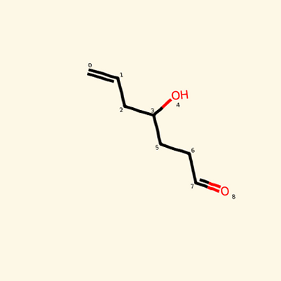 C=CCC(O)CCC=O